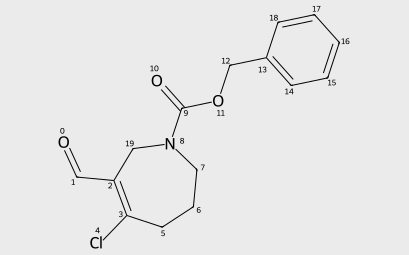 O=CC1=C(Cl)CCCN(C(=O)OCc2ccccc2)C1